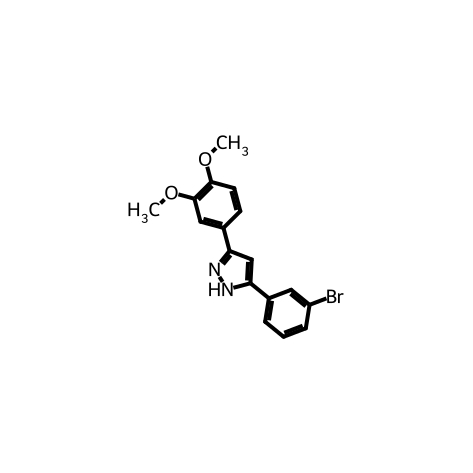 COc1ccc(-c2cc(-c3cccc(Br)c3)[nH]n2)cc1OC